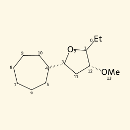 CCC1O[C@@H](C2CCCCCC2)C[C@H]1OC